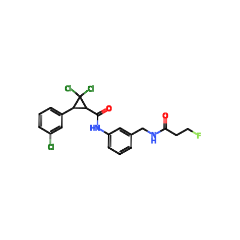 O=C(CCF)NCc1cccc(NC(=O)C2C(c3cccc(Cl)c3)C2(Cl)Cl)c1